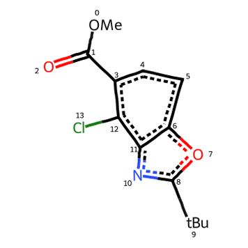 COC(=O)c1ccc2oc(C(C)(C)C)nc2c1Cl